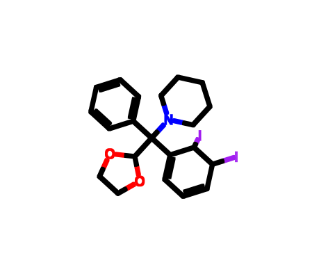 IC1C=CC=C(C(c2ccccc2)(C2OCCO2)N2CCCCC2)C1I